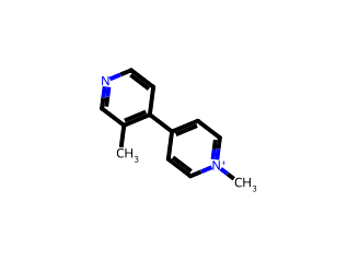 Cc1cnccc1-c1cc[n+](C)cc1